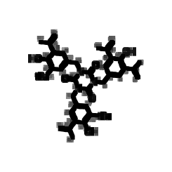 C=C(C)c1cc(Cn2c(=O)n(Cc3cc(C(=C)C)c(O)c(C(C)(C)C)c3)c(=O)n(Cc3cc(C(=C)C)c(O)c(C(C)(C)C)c3)c2=O)cc(C(=C)C)c1O